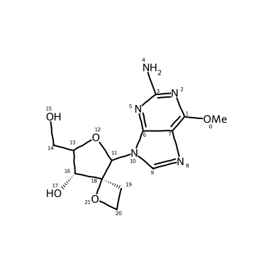 COc1nc(N)nc2c1ncn2C1OC(CO)[C@@H](O)[C@@]12CCO2